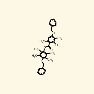 Cc1cc(OCc2ccccc2)c(C)c(C)c1C(=O)Oc1c(C)c(C)c(SCc2ccccc2)c(C)c1C